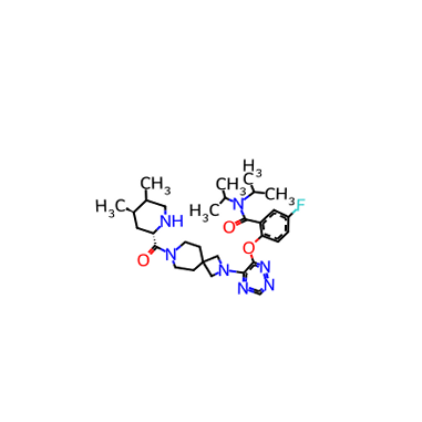 CC1CN[C@H](C(=O)N2CCC3(CC2)CN(c2ncnnc2Oc2ccc(F)cc2C(=O)N(C(C)C)C(C)C)C3)C[C@H]1C